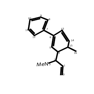 C=CC(NC)C1C=C(c2ccccc2)C=CC1C